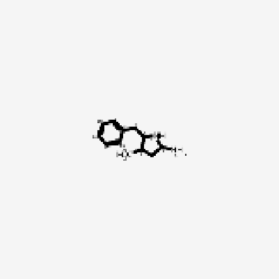 CC1CC(N)NC1Cc1ccccc1